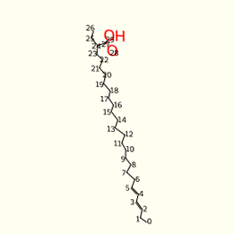 CCC=CC=CCCCCCCCCCCCCCCCCCCC(CC)C(=O)O